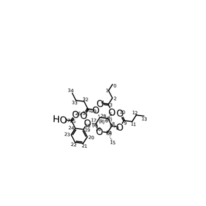 CCCC(=O)O[C@@H]1[C@@H](OC(=O)CCC)[C@H](C)O[C@H](Oc2ccccc2C(=O)O)[C@@H]1OC(=O)CCC